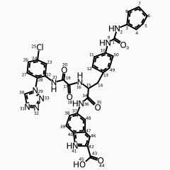 O=C(Nc1ccccc1)Nc1ccc(CC(NC(=O)C(=O)Nc2cc(Cl)ccc2-n2cnnn2)C(=O)Nc2ccc3[nH]c(C(=O)O)cc3c2)cc1